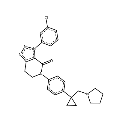 O=C1c2c(nnn2-c2cccc(Cl)c2)CCN1c1ccc(C2(CN3CCCC3)CC2)cc1